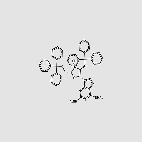 CC(=O)Nc1nc(NC(C)=O)c2ncn([C@@H]3O[C@H](COC(c4ccccc4)(c4ccccc4)c4ccccc4)[C@@H](O)[C@H]3OC(c3ccccc3)(c3ccccc3)c3ccccc3)c2n1